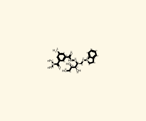 CCCN(CCC)C(=O)c1cc(C)cc(C(=O)NO[C@@H](CON2CCc3ccccc32)[C@@H](O)[C@H](O)CO)c1